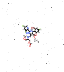 CCOC(=O)C1=C(CN2CCOCC2COC=O)NC(c2ncc(F)cc2F)=NC1c1ccc(F)cc1Br